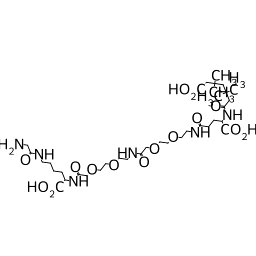 CC(C)(CC(=O)O)CC(C)(C)CC(=O)NC(CCC(=O)NCCOCCOCC(=O)NCCOCCOCC(=O)NC(CCCCNC(=O)CN)C(=O)O)C(=O)O